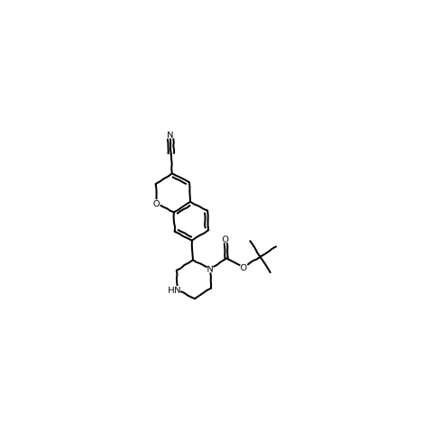 CC(C)(C)OC(=O)N1CCNCC1c1ccc2c(c1)OCC(C#N)=C2